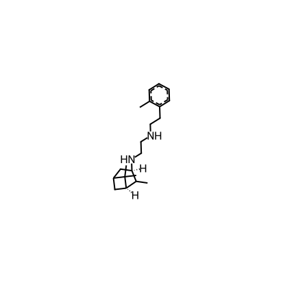 Cc1ccccc1CCNCCN[C@@H]1CC2C[C@H](C1C)C2(C)C